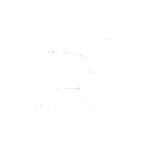 CCCCCCN(CCCCCC)CC(=O)OCCCC